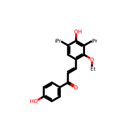 CCOc1c(/C=C/C(=O)c2ccc(O)cc2)cc(C(C)C)c(O)c1C(C)C